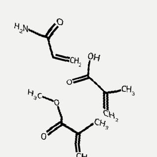 C=C(C)C(=O)O.C=C(C)C(=O)OC.C=CC(N)=O